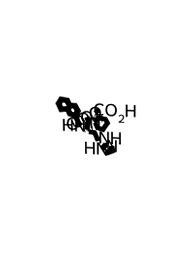 O=C(O)O[C@@H]1CCCCN1C(=O)[C@H](CCCNc1ncc[nH]1)NS(=O)(=O)c1ccc2ccccc2c1